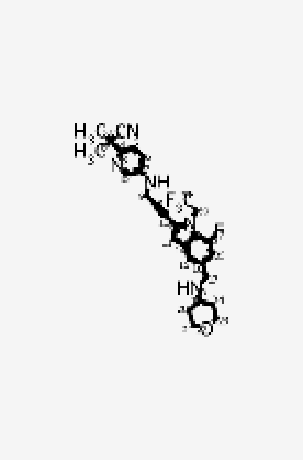 CC(C)(C#N)c1ccc(NCC#Cc2cc3cc(CNC4CCOCC4)cc(F)c3n2CC(F)(F)F)cn1